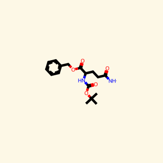 CC(C)(C)OC(=O)NC(CCC([NH])=O)C(=O)OCc1ccccc1